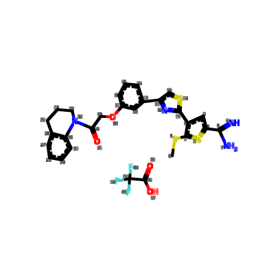 CSc1sc(C(=N)N)cc1-c1nc(-c2cccc(OCC(=O)N3CCCc4ccccc43)c2)cs1.O=C(O)C(F)(F)F